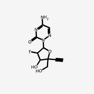 C#CC1(CO)OC(n2ncc(N)nc2=O)C(F)C1O